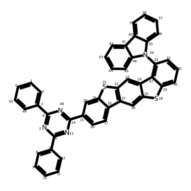 c1ccc(-c2nc(-c3ccccc3)nc(-c3ccc4c(c3)sc3cc5c(cc34)sc3cccc(-n4c6ccccc6c6ccccc64)c35)n2)cc1